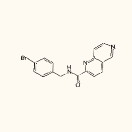 O=C(NCc1ccc(Br)cc1)c1ccc2cnccc2n1